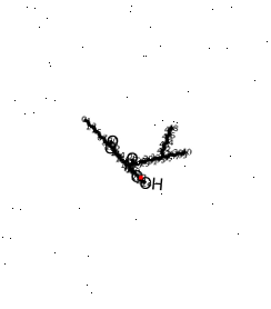 CCCCCCCCCC(=O)OCCCCCCN(CCOCCO)C(=O)CCCCCCCC(CCCCCC)CCCCCCCC